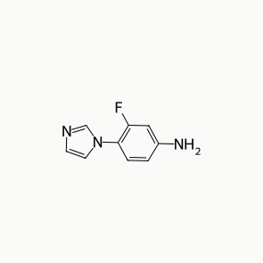 Nc1ccc(-n2ccnc2)c(F)c1